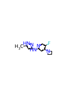 Cc1cc(Nc2cc(N3CCC3)c(F)cn2)n[nH]1